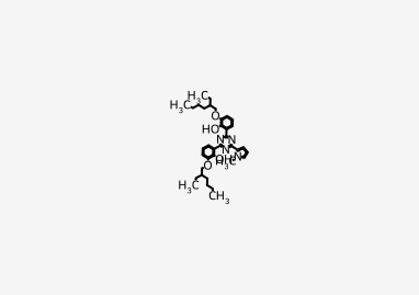 CCCCC(CC)COc1cccc(-c2nc(-c3cccc(OCC(CC)CCCC)c3O)nc(-c3cccn3C)n2)c1O